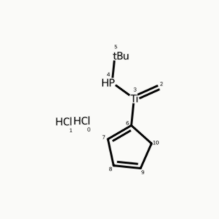 Cl.Cl.[CH2]=[Ti]([PH]C(C)(C)C)[C]1=CC=CC1